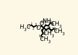 CCCCOC(=O)C(CCCC)(CCCC)C(C)CCCC.N